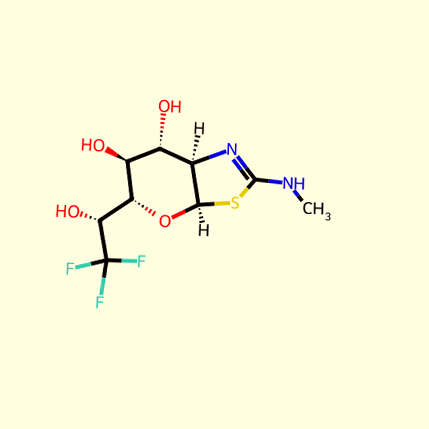 CNC1=N[C@@H]2[C@@H](O)[C@H](O)[C@@H]([C@@H](O)C(F)(F)F)O[C@@H]2S1